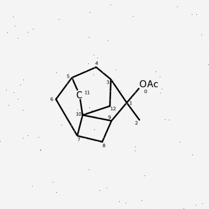 CC(=O)OC1(C)C2CC3CC4CC1C4(C3)C2